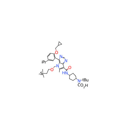 Cc1c(C(=O)NC2CCC(N(C(=O)O)C(C)(C)C)CC2)c2ncnc(-c3cc(C(C)C)ccc3OCC3CC3)c2n1COCC[Si](C)(C)C